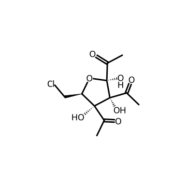 CC(=O)[C@]1(O)[C@](O)(C(C)=O)O[C@H](CCl)[C@]1(O)C(C)=O